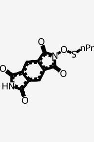 CCCSOn1c(=O)c2cc3c(=O)[nH]c(=O)c3cc2c1=O